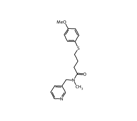 COc1ccc(SCCCC(=O)N(C)Cc2cccnc2)cc1